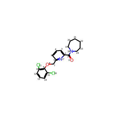 O=C(c1cccc(COc2c(Cl)cccc2Cl)n1)N1CCCCCC1